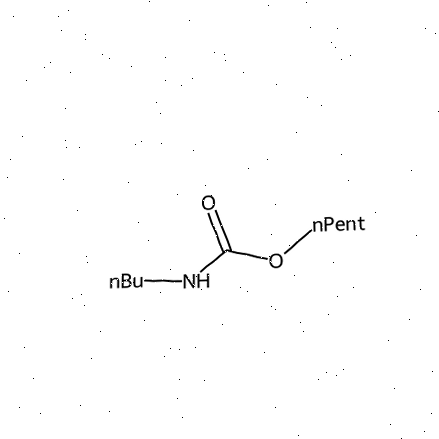 [CH2]CCCCOC(=O)NCCCC